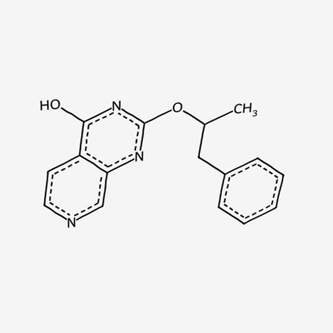 CC(Cc1ccccc1)Oc1nc(O)c2ccncc2n1